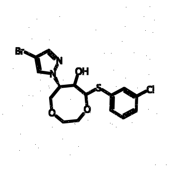 OC1C(Sc2cccc(Cl)c2)OCCOC[C@H]1n1cc(Br)cn1